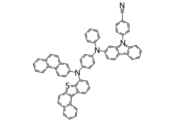 N#Cc1ccc(-n2c3ccccc3c3ccc(N(c4ccccc4)c4ccc(N(c5ccc6c(ccc7ccccc76)c5)c5cccc6c5sc5ccc7ccccc7c56)cc4)cc32)cc1